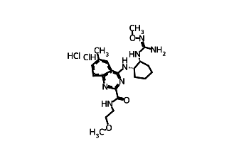 COCCNC(=O)c1nc(N[C@H]2CCCC[C@H]2N/C(N)=N\OC)c2cc(C)ccc2n1.Cl.Cl